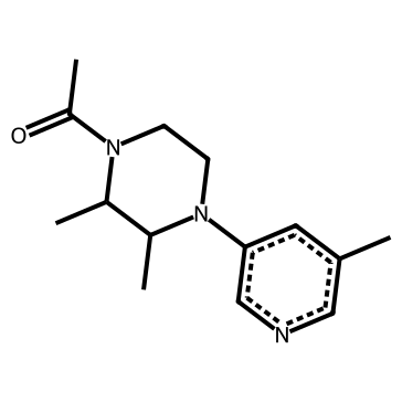 CC(=O)N1CCN(c2cncc(C)c2)C(C)C1C